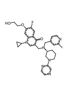 Cc1cc(CN(Cc2cn(C3CC3)c3cc(OCCO)c(F)cc3c2=O)[C@H]2CCCN(c3cnccn3)C2)ccn1